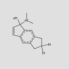 CCC[C]1([Hf]([CH3])[CH3])C=Cc2cc3c(cc21)CC(CC)(CC)C3